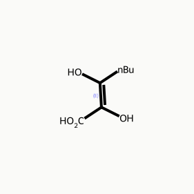 CCCC/C(O)=C(\O)C(=O)O